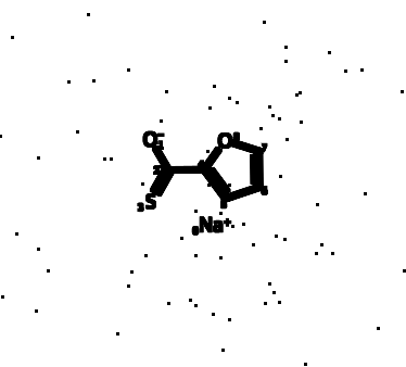 [Na+].[O-]C(=S)c1ccco1